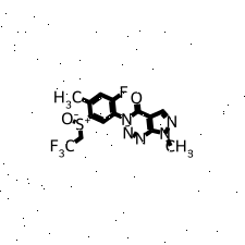 Cc1cc(F)c(-n2nnc3c(cnn3C)c2=O)cc1[S+]([O-])CC(F)(F)F